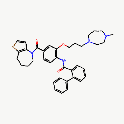 CN1CCCN(CCCOc2cc(C(=O)N3CCCCc4sccc43)ccc2NC(=O)c2ccccc2-c2ccccc2)CC1